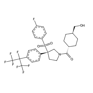 O=C([C@H]1CC[C@H](CO)CC1)N1CC[C@](c2ccc(C(F)(C(F)(F)F)C(F)(F)F)cc2)(S(=O)(=O)c2ccc(F)cc2)C1